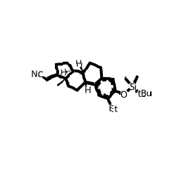 CCc1cc2c(cc1O[Si](C)(C)C(C)(C)C)CC[C@@H]1[C@@H]2CC[C@]2(C)/C(=C/C#N)CC[C@@H]12